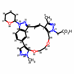 Cc1nn(CC(=O)O)c2c1/C=C/c1nn(C3CCCCO3)c3ccc(cc13)-c1cnn(C)c1OCCOC2